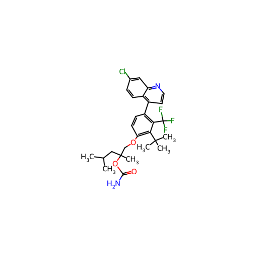 CC(C)CC(C)(COc1ccc(-c2ccnc3cc(Cl)ccc23)c(C(F)(F)F)c1C(C)(C)C)OC(N)=O